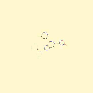 CC1CCC(Cn2c(N3C[C@H](O)C[C@H]3C)nc3cc(-c4noc(=O)[nH]4)nc(-c4cncc(Cl)c4)c32)CC1